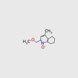 COCc1cc(C)c2c([n+]1[O-])CCCC2